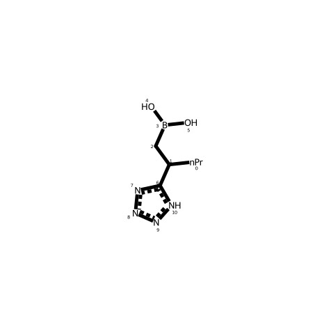 CCCC(CB(O)O)c1nnn[nH]1